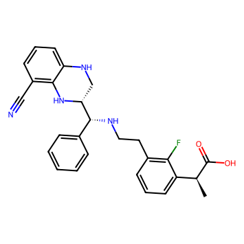 C[C@H](C(=O)O)c1cccc(CCN[C@H](c2ccccc2)[C@H]2CNc3cccc(C#N)c3N2)c1F